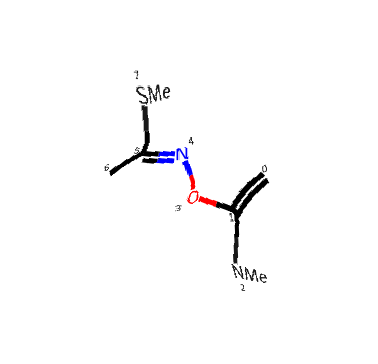 C=C(NC)ON=C(C)SC